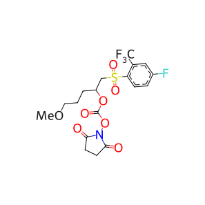 COCCCC(CS(=O)(=O)c1ccc(F)cc1C(F)(F)F)OC(=O)ON1C(=O)CCC1=O